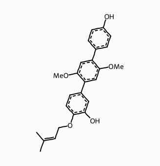 COc1cc(-c2ccc(OCC=C(C)C)c(O)c2)c(OC)cc1-c1ccc(O)cc1